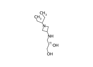 CCC(CC)N1CC(NC[C@H](O)CO)C1